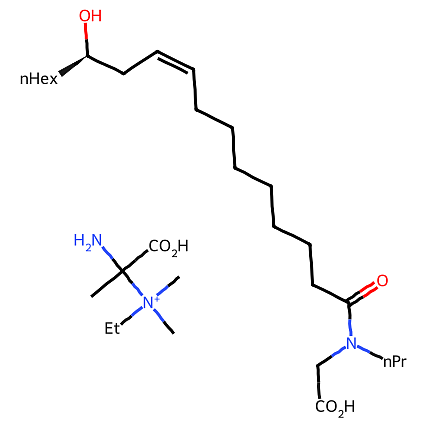 CCCCCC[C@@H](O)C/C=C\CCCCCCCC(=O)N(CCC)CC(=O)O.CC[N+](C)(C)C(C)(N)C(=O)O